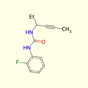 CC#CC(CC)NC(=O)Nc1ccccc1F